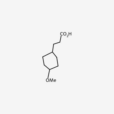 COC1CCC(CCC(=O)O)CC1